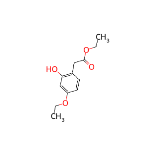 CCOC(=O)Cc1ccc(OCC)cc1O